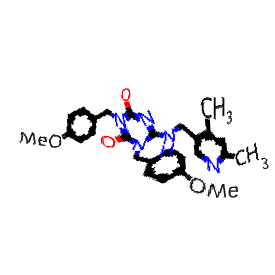 COc1ccc(Cn2c(NCc3cnc(C)cc3C)nc(=O)n(Cc3ccc(OC)cc3)c2=O)cc1